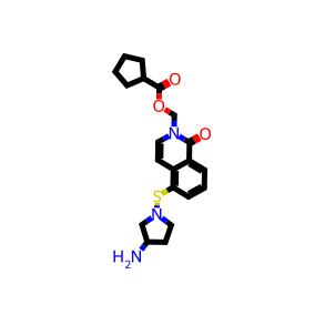 NC1CCN(Sc2cccc3c(=O)n(COC(=O)C4CCCC4)ccc23)C1